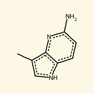 Cc1c[nH]c2ccc(N)nc12